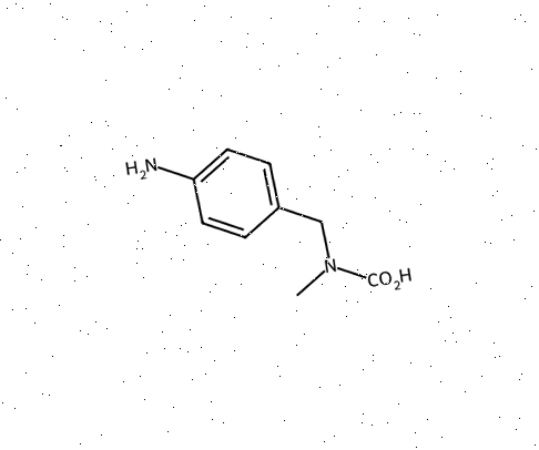 CN(Cc1ccc(N)cc1)C(=O)O